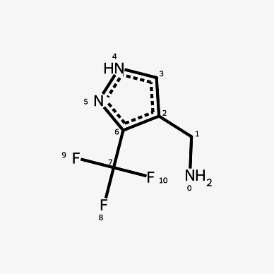 NCc1c[nH]nc1C(F)(F)F